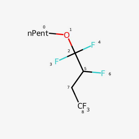 CCCCCOC(F)(F)C(F)CC(F)(F)F